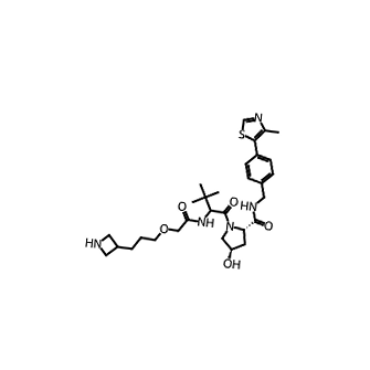 Cc1ncsc1-c1ccc(CNC(=O)[C@@H]2C[C@@H](O)CN2C(=O)C(NC(=O)COCCCC2CNC2)C(C)(C)C)cc1